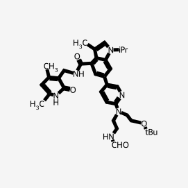 Cc1cc(C)c(CNC(=O)c2cc(-c3ccc(N(CCNC=O)CCOC(C)(C)C)nc3)cc3c2c(C)cn3C(C)C)c(=O)[nH]1